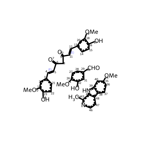 COc1cc(/C=C/C(=O)CC(=O)/C=C/c2ccc(O)c(OC)c2)ccc1O.COc1ccc(C=O)cc1O.COc1ccc2c(c1)[nH]c1c(C)nccc12